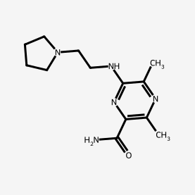 Cc1nc(C)c(C(N)=O)nc1NCCN1CCCC1